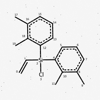 C=C[Si](Cl)(c1cccc(C)c1C)c1cccc(C)c1C